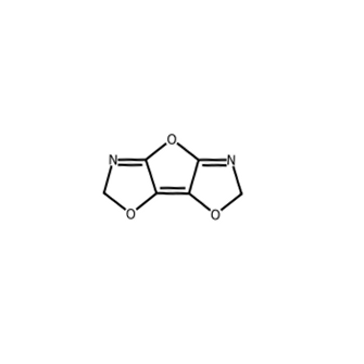 C1N=c2oc3c(c2O1)OCN=3